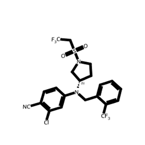 N#Cc1ccc(N(Cc2ccccc2C(F)(F)F)[C@H]2CCN(S(=O)(=O)CC(F)(F)F)C2)cc1Cl